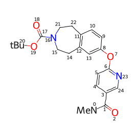 CNC(=O)c1ccc(Oc2ccc3c(c2)CCN(C(=O)OC(C)(C)C)CC3)nc1